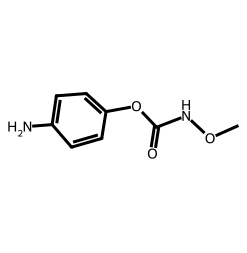 CONC(=O)Oc1ccc(N)cc1